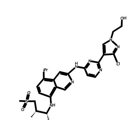 CC(C)c1ccc(N[C@H](C)[C@H](C)CS(C)(=O)=O)c2cnc(Nc3ccnc(-c4cn(CCO)nc4Cl)n3)cc12